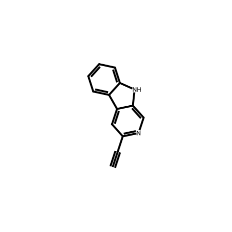 C#Cc1cc2c(cn1)[nH]c1ccccc12